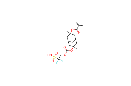 C=C(C)C(=O)OC1(C)CC2CC(CC(C)(OC(=O)OCC(F)(F)S(=O)(=O)O)C2)C1